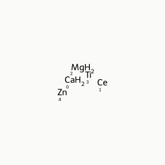 [CaH2].[Ce].[MgH2].[Ti].[Zn]